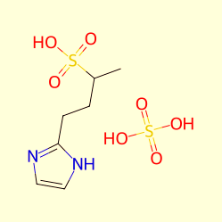 CC(CCc1ncc[nH]1)S(=O)(=O)O.O=S(=O)(O)O